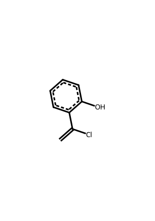 C=C(Cl)c1ccccc1O